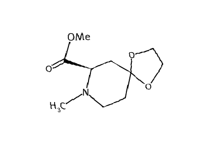 COC(=O)[C@H]1CC2(CCN1C)OCCO2